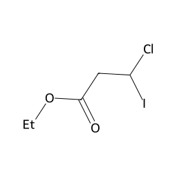 CCOC(=O)CC(Cl)I